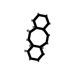 C1CCC2CCC3CCCCC3CCC2C1